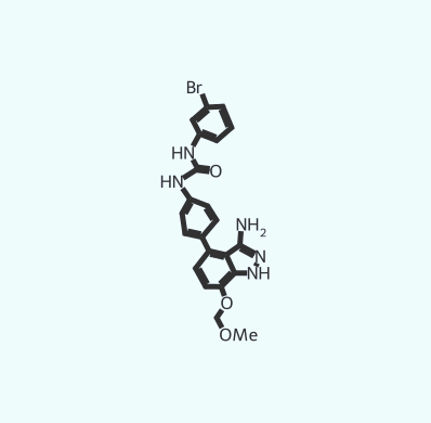 COCOc1ccc(-c2ccc(NC(=O)Nc3cccc(Br)c3)cc2)c2c(N)n[nH]c12